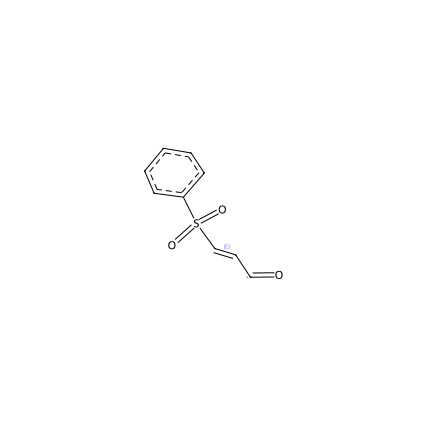 O=[C]/C=C/S(=O)(=O)c1ccccc1